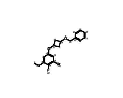 COc1cc(OC2CC(OCc3ccccc3)C2)cc(Br)c1F